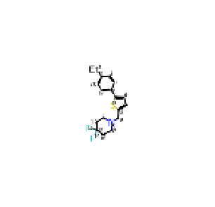 CCc1ccc(-c2ccc(CN3CCC(F)(F)CC3)s2)cc1